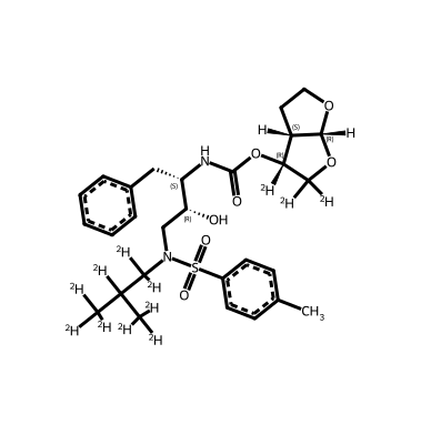 [2H]C([2H])([2H])C([2H])(C([2H])([2H])[2H])C([2H])([2H])N(C[C@@H](O)[C@H](Cc1ccccc1)NC(=O)O[C@]1([2H])[C@@H]2CCO[C@@H]2OC1([2H])[2H])S(=O)(=O)c1ccc(C)cc1